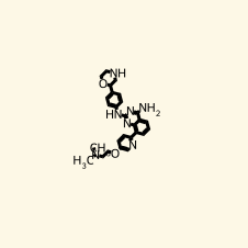 CN(C)CCOc1ccc(-c2cccc3c(N)nc(Nc4ccc(C5CNCCO5)cc4)nc23)nc1